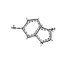 [NH]c1ccc2[nH]cnc2c1